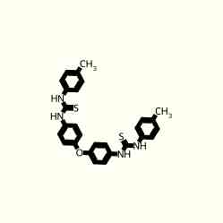 Cc1ccc(NC(=S)Nc2ccc(Oc3ccc(NC(=S)Nc4ccc(C)cc4)cc3)cc2)cc1